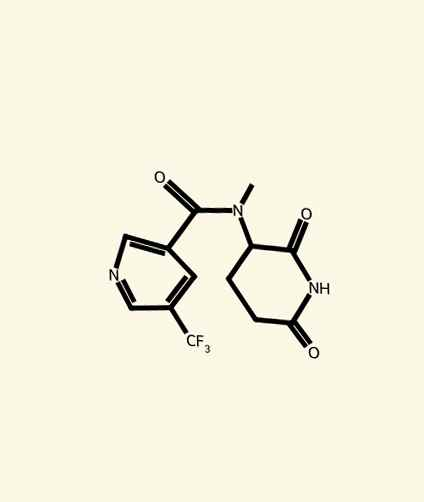 CN(C(=O)c1cncc(C(F)(F)F)c1)C1CCC(=O)NC1=O